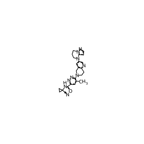 Cc1cc(C(=O)NC2(C#N)CC2)nnc1N1CCc2ncc(N3CCCn4nccc43)cc2C1